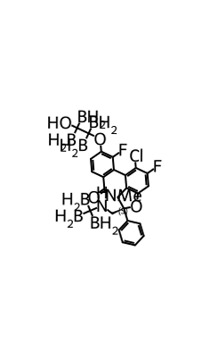 BC(B)(B)NC[C@@]1(c2ccccc2)Cc2c(cc(F)c(Cl)c2-c2c(C(=O)NC)ccc(OC(B)(B)C(B)(B)O)c2F)O1